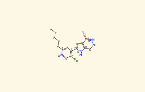 CCCCCc1cc(-c2cc3c([nH]2)CCNC3=O)c(F)cn1